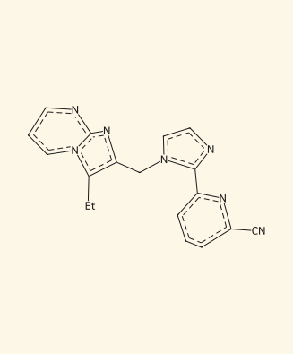 CCc1c(Cn2ccnc2-c2cccc(C#N)n2)nc2ncccn12